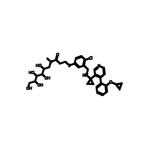 CN(CC(O)C(O)C(O)C(O)CO)C(=O)CCSc1ccc(Cl)c(CNC2(c3cnccc3-c3ccccc3OC3CC3)CC2)c1